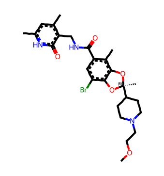 COCCN1CCC([C@@]2(C)Oc3c(Br)cc(C(=O)NCc4c(C)cc(C)[nH]c4=O)c(C)c3O2)CC1